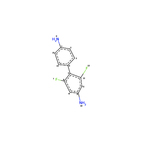 Nc1ccc(-c2c(F)cc(N)cc2F)cc1